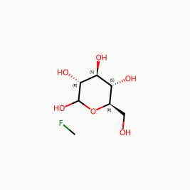 CF.OC[C@H]1OC(O)[C@H](O)[C@@H](O)[C@@H]1O